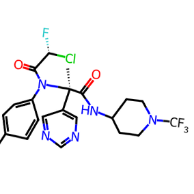 Cc1ccc(N(C(=O)[C@H](F)Cl)[C@@](C)(C(=O)NC2CCN(C(F)(F)F)CC2)c2cncnc2)cc1